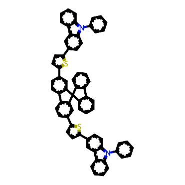 c1ccc(-n2c3ccccc3c3cc(-c4ccc(-c5ccc6c(c5)C5(c7ccccc7-c7ccccc75)c5cc(-c7ccc(-c8ccc9c(c8)c8ccccc8n9-c8ccccc8)s7)ccc5-6)s4)ccc32)cc1